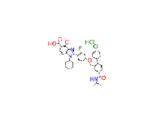 COc1c(C(=O)O)ccc2c1nc(-c1ccc(OCc3cc(C(=O)NC(C)C)ccc3-c3ccc(Cl)cc3)cc1F)n2C1CCCCC1.Cl